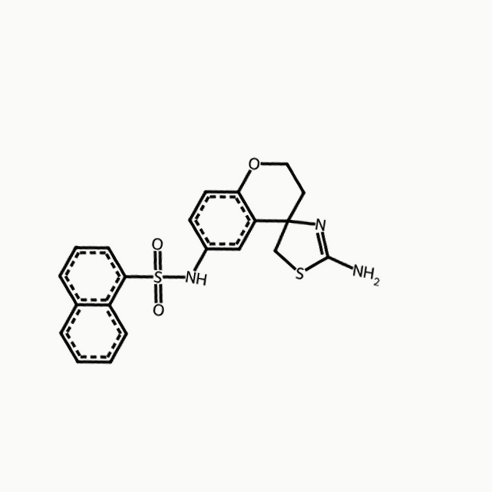 NC1=NC2(CCOc3ccc(NS(=O)(=O)c4cccc5ccccc45)cc32)CS1